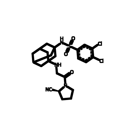 N#C[C@@H]1CCCN1C(=O)CNC12CC3CC(C1)CC(NS(=O)(=O)c1ccc(Cl)c(Cl)c1)(C3)C2